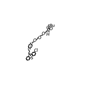 CC(C)(C)OC(=O)NCCOCCOCCOCCN1CCN(CCCN2c3ccccc3Sc3ccc(Cl)cc32)CC1